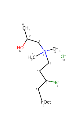 CCCCCCCCCC(Br)CC[N+](C)(C)CC(C)O.[Cl-]